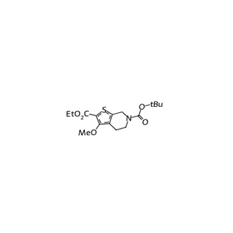 CCOC(=O)c1sc2c(c1OC)CCN(C(=O)OC(C)(C)C)C2